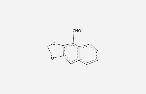 O=[C]c1c2c(cc3ccccc13)OCO2